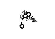 CN(C)[C@@H]1c2onc(OCc3ccccc3)c2C(=O)[C@@]2(O)C(O[Si](C)(C)C(C)(C)C)=CC=C[C@@H]12